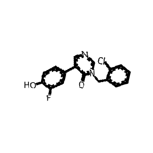 O=c1c(-c2ccc(O)c(F)c2)cncn1Cc1ccccc1Cl